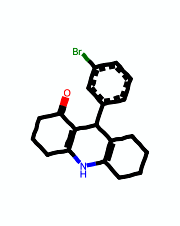 O=C1CCCC2=C1C(c1cccc(Br)c1)C1=C(CCCC1)N2